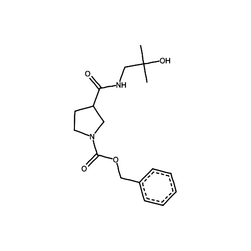 CC(C)(O)CNC(=O)C1CCN(C(=O)OCc2ccccc2)C1